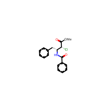 COC(=O)[C@H](Cl)[C@@H](Cc1ccccc1)NC(=O)c1ccccc1